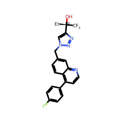 CC[C@](O)(c1cn(Cc2ccc3c(-c4ccc(F)cc4)ccnc3c2)nn1)C(F)(F)F